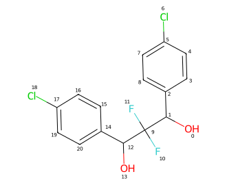 OC(c1ccc(Cl)cc1)C(F)(F)C(O)c1ccc(Cl)cc1